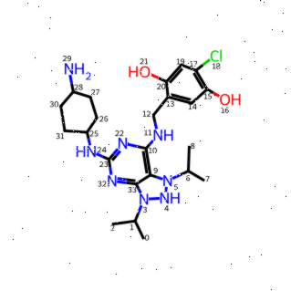 CC(C)N1NN(C(C)C)c2c(NCc3cc(O)c(Cl)cc3O)nc(NC3CCC(N)CC3)nc21